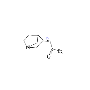 CCC(=O)/C=C1\CN2CCC1C2